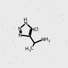 CC(N)c1c[nH]nn1.Cl